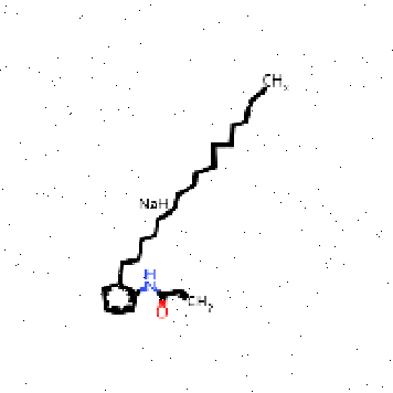 C=CC(=O)Nc1ccccc1CCCCCCCCCCCCCCCCC.[NaH]